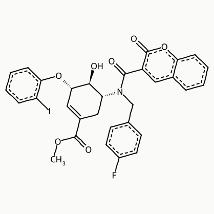 COC(=O)C1=C[C@H](Oc2ccccc2I)[C@@H](O)[C@H](N(Cc2ccc(F)cc2)C(=O)c2cc3ccccc3oc2=O)C1